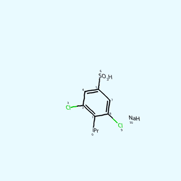 CC(C)c1c(Cl)cc(S(=O)(=O)O)cc1Cl.[NaH]